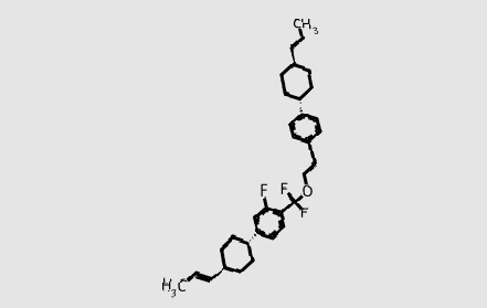 C/C=C/[C@H]1CC[C@H](c2ccc(C(F)(F)OCCc3ccc([C@H]4CC[C@H](CCC)CC4)cc3)c(F)c2)CC1